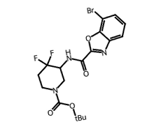 CC(C)(C)OC(=O)N1CCC(F)(F)C(NC(=O)c2nc3cccc(Br)c3o2)C1